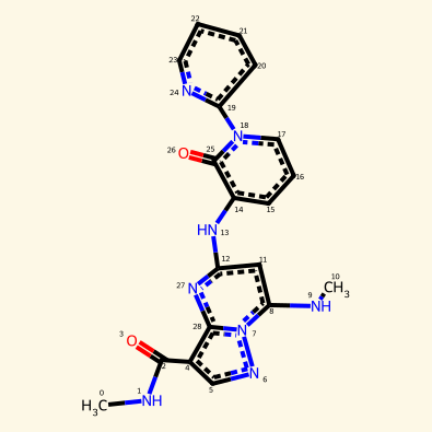 CNC(=O)c1cnn2c(NC)cc(Nc3cccn(-c4ccccn4)c3=O)nc12